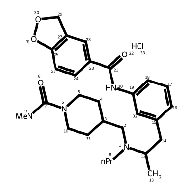 CCCN(CC1CCN(C(=O)NC)CC1)C(C)Cc1cccc(NC(=O)c2ccc3c(c2)COO3)c1.Cl